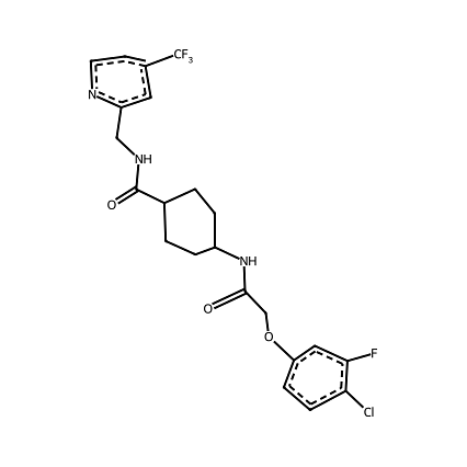 O=C(COc1ccc(Cl)c(F)c1)NC1CCC(C(=O)NCc2cc(C(F)(F)F)ccn2)CC1